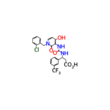 O=C(O)CC(NC(=O)Nc1c(O)ccn(Cc2ccccc2Cl)c1=O)c1cccc(C(F)(F)F)c1